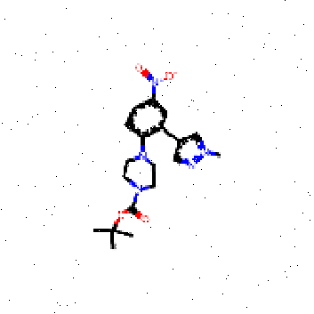 Cn1cc(-c2cc([N+](=O)[O-])ccc2N2CCN(C(=O)OC(C)(C)C)CC2)cn1